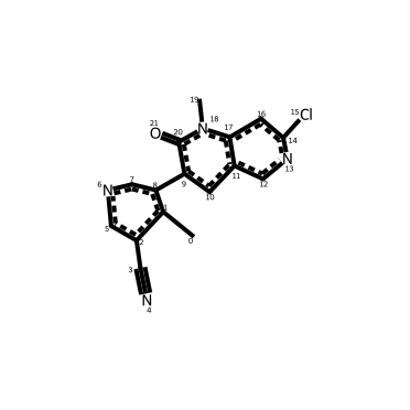 Cc1c(C#N)cncc1-c1cc2cnc(Cl)cc2n(C)c1=O